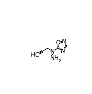 C#CCN(N)c1ncno1